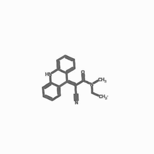 [CH2]CN(C)C(=O)C(C#N)=C1c2ccccc2Nc2ccccc21